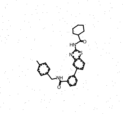 Cc1ccc(CNC(=O)c2cccc(-c3ccc4sc(NC(=O)C5CCCCC5)nc4c3)c2)cc1